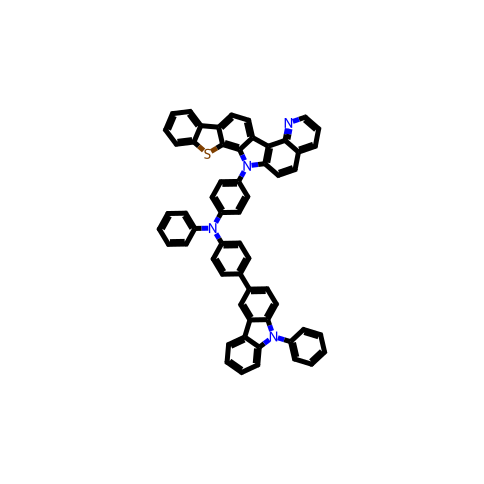 c1ccc(N(c2ccc(-c3ccc4c(c3)c3ccccc3n4-c3ccccc3)cc2)c2ccc(-n3c4ccc5cccnc5c4c4ccc5c6ccccc6sc5c43)cc2)cc1